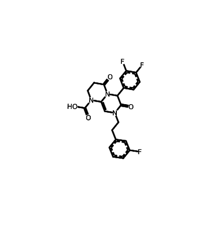 O=C1C(c2ccc(F)c(F)c2)N2C(=O)CCN(C(=O)O)C2=CN1CCc1cccc(F)c1